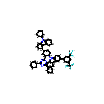 FC(F)(F)c1cc(-c2ccc3c(c2)c2ccccc2n3-c2ccc(-c3cccc4c3c3ccccc3n4-c3ccccc3)cc2-c2nc(-c3ccccc3)nc(-c3ccccc3)n2)cc(C(F)(F)F)c1